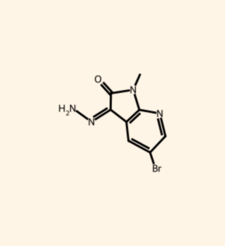 CN1C(=O)/C(=N\N)c2cc(Br)cnc21